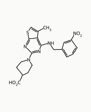 Cc1csc2nc(N3CCC(C(=O)O)CC3)nc(NCc3cccc([N+](=O)[O-])c3)c12